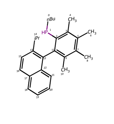 CCCCPc1c(C)c(C)c(C)c(C)c1-c1c(C(C)C)ccc2ccccc12